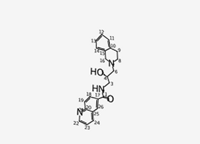 O=C(NC[C@@H](O)CN1CCc2ccccc2C1)c1ccc2ncccc2c1